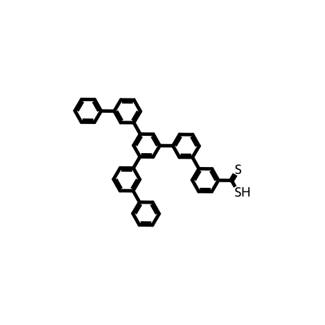 S=C(S)c1cccc(-c2cccc(-c3cc(-c4cccc(-c5ccccc5)c4)cc(-c4cccc(-c5ccccc5)c4)c3)c2)c1